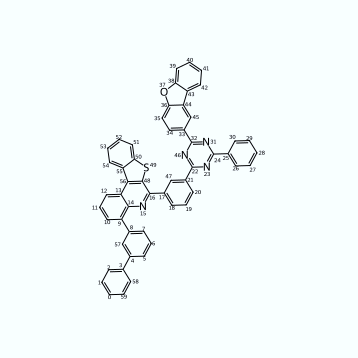 c1ccc(-c2cccc(-c3cccc4c3nc(-c3cccc(-c5nc(-c6ccccc6)nc(-c6ccc7oc8ccccc8c7c6)n5)c3)c3sc5ccccc5c34)c2)cc1